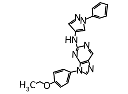 CCOc1ccc(-n2cnc3cnc(Nc4cnn(-c5ccccc5)c4)nc32)cc1